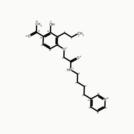 CCCc1c(OCC(=O)NCCCCc2cccnc2)ccc(C(C)=O)c1O